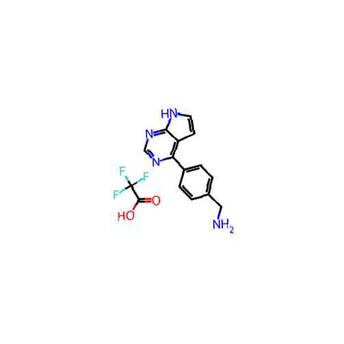 NCc1ccc(-c2ncnc3[nH]ccc23)cc1.O=C(O)C(F)(F)F